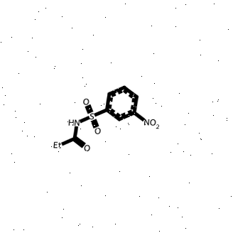 CCC(=O)NS(=O)(=O)c1cccc([N+](=O)[O-])c1